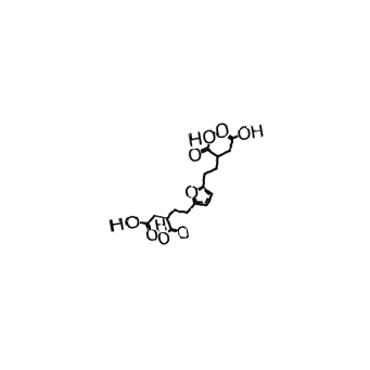 O=C(O)CC(CCc1ccc(CCC(CC(=O)O)C(=O)O)o1)C(=O)O